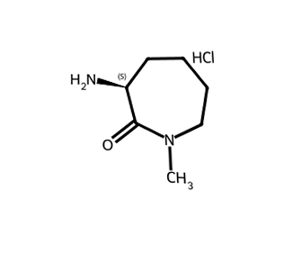 CN1CCCC[C@H](N)C1=O.Cl